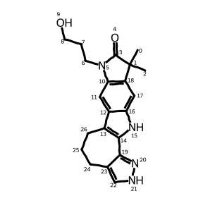 CC1(C)C(=O)N(CCCO)c2cc3c4c([nH]c3cc21)-c1n[nH]cc1CCC4